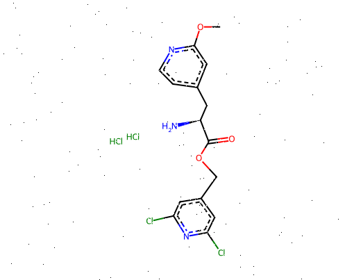 COc1cc(C[C@H](N)C(=O)OCc2cc(Cl)nc(Cl)c2)ccn1.Cl.Cl